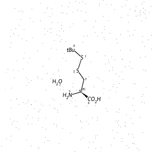 CC(C)(C)SSC[C@H](N)C(=O)O.O